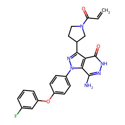 C=CC(=O)N1CCC(c2nn(-c3ccc(Oc4cccc(F)c4)cc3)c3c(N)n[nH]c(=O)c23)C1